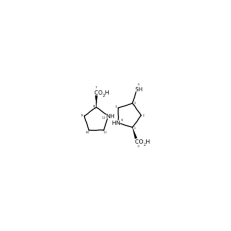 O=C(O)[C@@H]1CC(S)CN1.O=C(O)[C@@H]1CCCN1